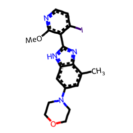 COc1nccc(I)c1-c1nc2c(C)cc(N3CCOCC3)cc2[nH]1